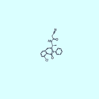 C[C@H](NC(=O)CC#N)c1cc2cccc(Cl)c2c(=O)n1-c1ccccc1